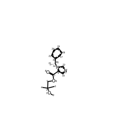 COC(C)(C)COC(=O)c1cncn1[C@H](C)c1ccccc1